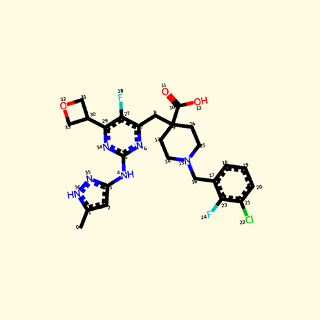 Cc1cc(Nc2nc(CC3(C(=O)O)CCN(Cc4cccc(Cl)c4F)CC3)c(F)c(C3COC3)n2)n[nH]1